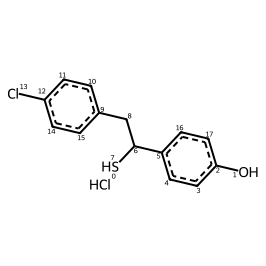 Cl.Oc1ccc(C(S)Cc2ccc(Cl)cc2)cc1